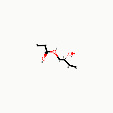 CCC(=O)OC[C@H](O)CC